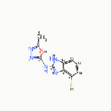 Cc1nnc(Nc2nc3c(F)cccc3[nH]2)o1